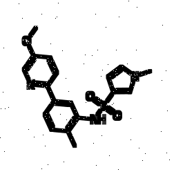 COc1ccc(-c2ccc(C)c(NS(=O)(=O)c3ccn(C)c3)c2)nc1